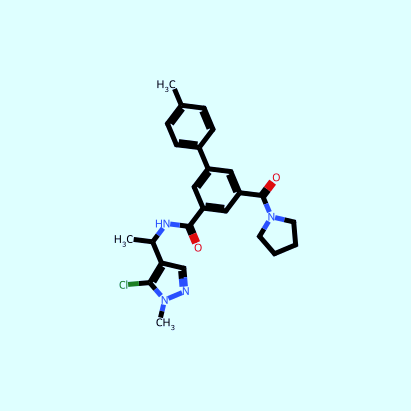 Cc1ccc(-c2cc(C(=O)NC(C)c3cnn(C)c3Cl)cc(C(=O)N3CCCC3)c2)cc1